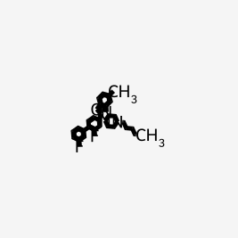 CCCCCN1CCN(C2(c3nc4cc(C)ccc4o3)C=CC(c3cccc(F)c3)=C(F)C2)CC1